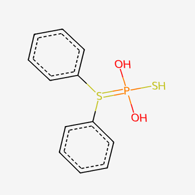 OP(O)(S)=S(c1ccccc1)c1ccccc1